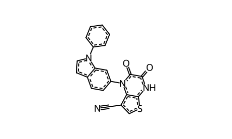 N#Cc1csc2[nH]c(=O)c(=O)n(-c3ccc4ccn(-c5ccccc5)c4c3)c12